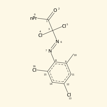 CCCC(=O)C(Cl)(Cl)N=Nc1c(C)cc(Cl)cc1Cl